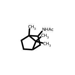 CC(=O)NC1CC2CCC1(C)C2(C)C